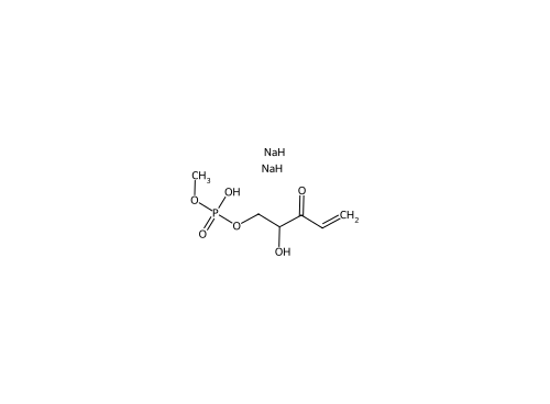 C=CC(=O)C(O)COP(=O)(O)OC.[NaH].[NaH]